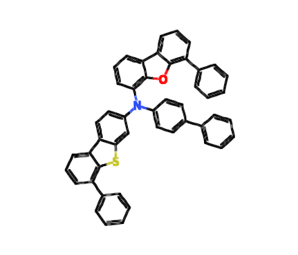 c1ccc(-c2ccc(N(c3ccc4c(c3)sc3c(-c5ccccc5)cccc34)c3cccc4c3oc3c(-c5ccccc5)cccc34)cc2)cc1